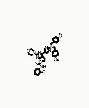 COc1ccc(CN(Cc2ccc(OC)cc2)c2ncc(-c3nc(N4CCOCC4)nc4c3CCN4C(=S)Nc3ccccc3F)cn2)cc1